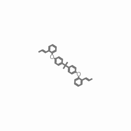 CC=Cc1ccccc1Oc1ccc(C(C)(C)c2ccc(Oc3ccccc3C=CC)cc2)cc1